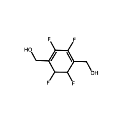 OCC1=C(F)C(F)=C(CO)C(F)C1F